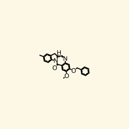 COc1cc2c(cc1OCc1ccccc1)N=C[C@@H]1Cc3cc(C)ccc3N1C2=O